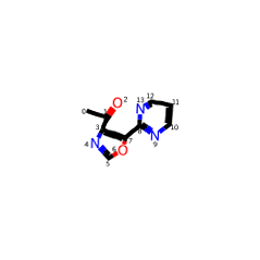 CC(=O)c1ncoc1-c1ncccn1